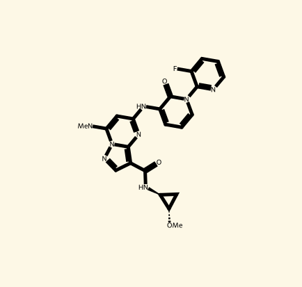 CNc1cc(Nc2cccn(-c3ncccc3F)c2=O)nc2c(C(=O)N[C@H]3C[C@@H]3OC)cnn12